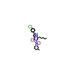 CCCCCC1CN(CC(=O)N2CCCC(C)C2)C(=O)c2cc(-c3ccc(Cl)cc3)nn21